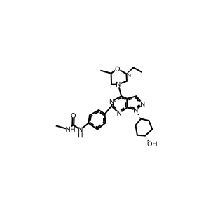 CC[C@H]1CN(c2nc(-c3ccc(NC(=O)NC)cc3)nc3c2cnn3[C@H]2CC[C@@H](O)CC2)CC(C)O1